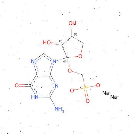 Nc1nc2c(ncn2[C@]2(OCP(=O)([O-])[O-])OC[C@@H](O)[C@H]2O)c(=O)[nH]1.[Na+].[Na+]